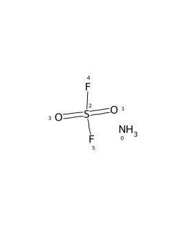 N.O=S(=O)(F)F